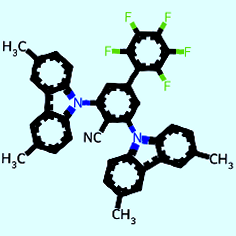 Cc1ccc2c(c1)c1cc(C)ccc1n2-c1cc(-c2c(F)c(F)c(F)c(F)c2F)cc(-n2c3ccc(C)cc3c3cc(C)ccc32)c1C#N